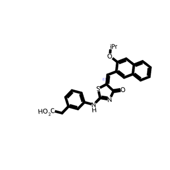 CC(C)Oc1cc2ccccc2cc1/C=C1/SC(Nc2cccc(CC(=O)O)c2)=NC1=O